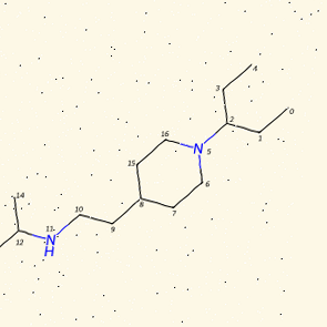 CCC(CC)N1CCC(CCNC(C)C)CC1